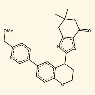 COCc1ccc(-c2ccc3c(c2)N(c2nc4c(s2)C(=O)NC(C)(C)C4)CCO3)cn1